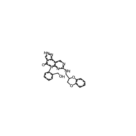 O=c1c2c[nH]nc2c2cnc(NCC3COc4ccccc4O3)nc2n1-c1ccccc1CO